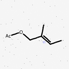 [CH2]/C=C(\C)COC(C)=O